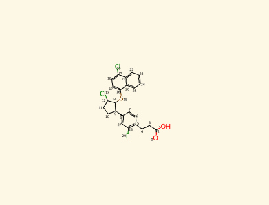 O=C(O)CCc1ccc([C@H]2CCC(Cl)C2Sc2ccc(Cl)c3ccccc23)cc1F